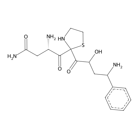 NC(=O)C[C@H](N)C(=O)C1(C(=O)C(O)CC(N)c2ccccc2)NCCS1